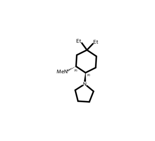 CCC1(CC)CC[C@@H](N2CCCC2)[C@H](NC)C1